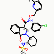 Cc1cccc(CONC(=O)[C@@H]2c3ccccc3C(=O)N([C@H]3CCCC[C@@H]3NS(C)(=O)=O)[C@H]2c2ccc(Cl)cc2)n1